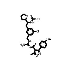 COc1ccc(-c2noc(C)c2C(=O)/N=C(/N)NCc2cc(Cl)cc(CC(NC(=O)O)C3CCCO3)c2)cc1